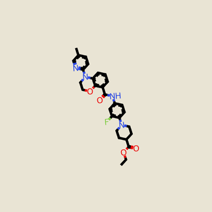 CCOC(=O)C1CCN(c2ccc(NC(=O)c3cccc4c3OCCN4c3ccc(C)cn3)cc2F)CC1